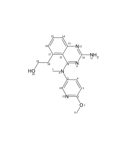 COc1ccc(N(C)c2nc(N)nc3cccc(CCO)c23)cn1